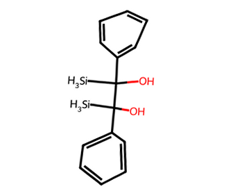 OC([SiH3])(c1ccccc1)C(O)([SiH3])c1ccccc1